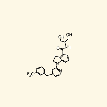 O=C(NC(CO)CO)c1cccc2c1CCN2c1cc(Cc2cccc(C(F)(F)F)c2)ccn1